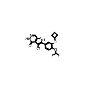 O=c1[nH]ncc2[nH]c(-c3ccc(OC(F)F)c(OC4CCC4)c3)c(Cl)c12